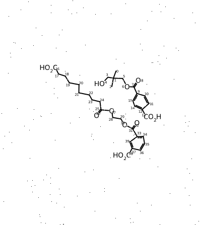 CC(C)(CO)COC(=O)c1ccc(C(=O)O)cc1.O=C(O)CCCCCCCCC(=O)OCCOC(=O)c1cccc(C(=O)O)c1